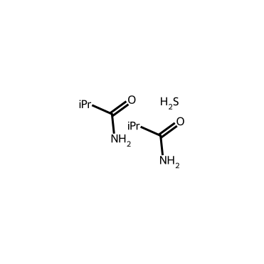 CC(C)C(N)=O.CC(C)C(N)=O.S